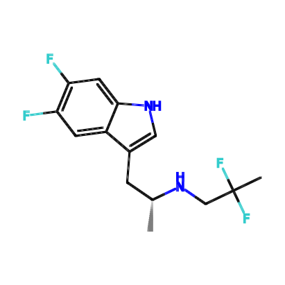 C[C@H](Cc1c[nH]c2cc(F)c(F)cc12)NCC(C)(F)F